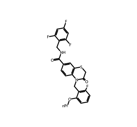 CCCOc1cccc(F)c1CN1C(=O)CSc2cc(C(=O)NCc3c(F)cc(F)cc3F)ccc21